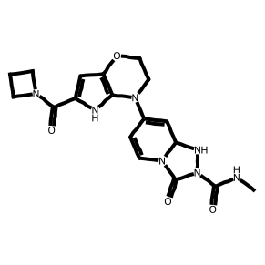 CNC(=O)N1NC2C=C(N3CCOc4cc(C(=O)N5CCC5)[nH]c43)C=CN2C1=O